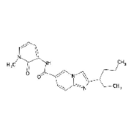 CCCC(CC)c1cn2cc(C(=O)Nc3cccn(C)c3=O)ccc2n1